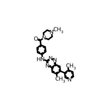 Cc1ccncc1-c1cc2nnc(Nc3ccc(C(=O)N4CCN(C)CC4)cc3)nc2cc1C